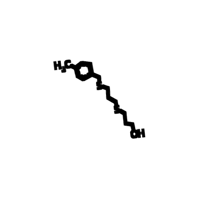 Cc1ccc(CSCCCSCCCO)cc1